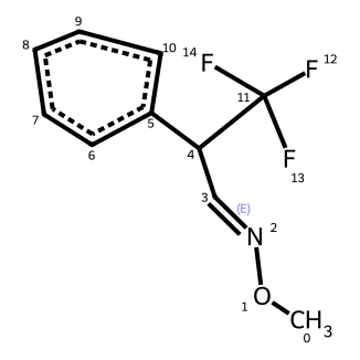 CO/N=C/C(c1ccccc1)C(F)(F)F